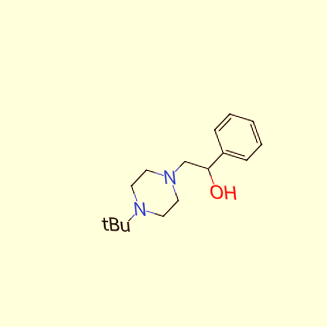 CC(C)(C)N1CCN(CC(O)c2ccccc2)CC1